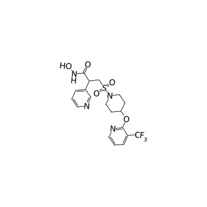 O=C(NO)C(CS(=O)(=O)N1CCC(Oc2ncccc2C(F)(F)F)CC1)c1cccnc1